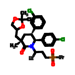 CCC(CCS(=O)(=O)C(C)C)N1C(=O)[C@@](C)(CC2COC(C)(C)O2)C[C@H](c2cccc(Cl)c2)[C@H]1c1ccc(Cl)cc1